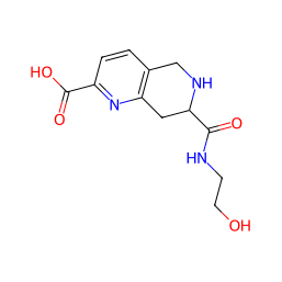 O=C(O)c1ccc2c(n1)CC(C(=O)NCCO)NC2